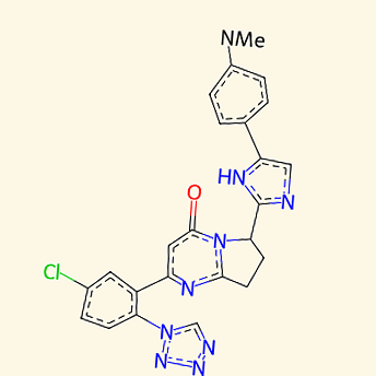 CNc1ccc(-c2cnc(C3CCc4nc(-c5cc(Cl)ccc5-n5cnnn5)cc(=O)n43)[nH]2)cc1